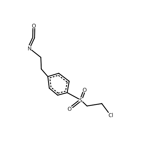 O=C=NCCc1ccc(S(=O)(=O)CCCl)cc1